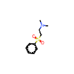 CN(C)CCS(=O)(=O)c1cc[c]cc1